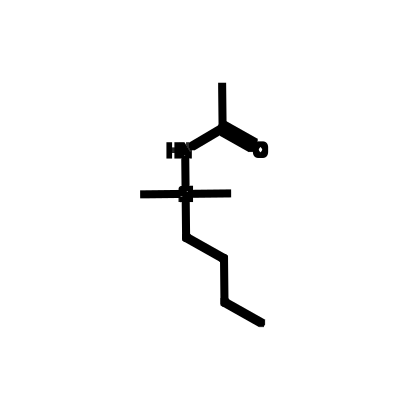 CCCC[Si](C)(C)NC(C)=O